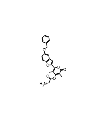 Cc1c(-c2cc3cc(OCc4ccccc4)ccc3o2)oc(=O)c(C)c1OC(=O)CN